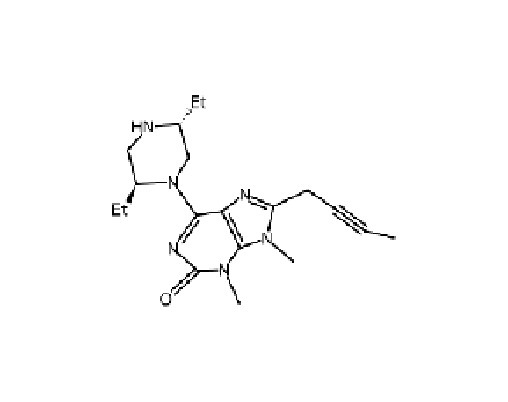 CC#CCc1nc2c(N3C[C@@H](CC)NC[C@@H]3CC)nc(=O)n(C)c2n1C